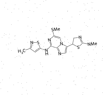 CNC1=NCC(c2cnc3c(Nc4cc(C)ns4)nc(SC)cn23)S1